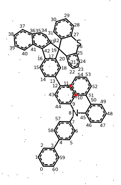 c1ccc(-c2ccc(N(c3ccc(-c4ccc5c(c4)C4(c6ccccc6Sc6ccccc64)c4ccc6ccccc6c4-5)cc3)c3ccccc3-c3ccccc3)cc2)cc1